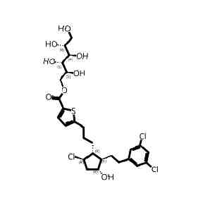 O=C(OC[C@H](O)[C@H](O)[C@H](O)[C@H](O)CO)c1ccc(CCC[C@@H]2[C@@H](CCc3cc(Cl)cc(Cl)c3)[C@H](O)C[C@H]2Cl)s1